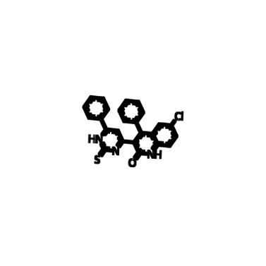 O=c1[nH]c2ccc(Cl)cc2c(-c2ccccc2)c1-c1cc(-c2ccccc2)[nH]c(=S)n1